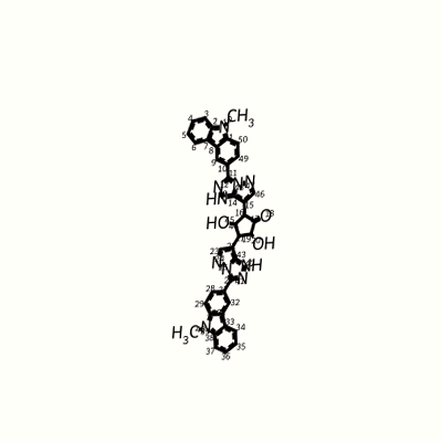 Cn1c2ccccc2c2cc(-c3n[nH]c4c(C5C(=O)C(O)C(c6cnn7c(-c8ccc9c(c8)c8ccccc8n9C)n[nH]c67)C5O)cnn34)ccc21